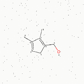 CC1=CCC(C[O])=C1C